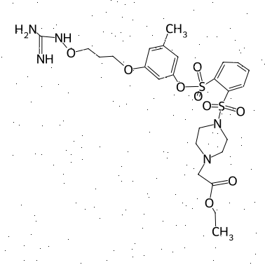 CCOC(=O)CN1CCN(S(=O)(=O)c2ccccc2S(=O)(=O)Oc2cc(C)cc(OCCCONC(=N)N)c2)CC1